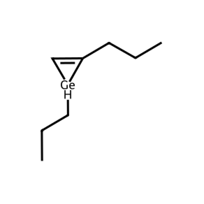 CCC[C]1=[CH][GeH]1[CH2]CC